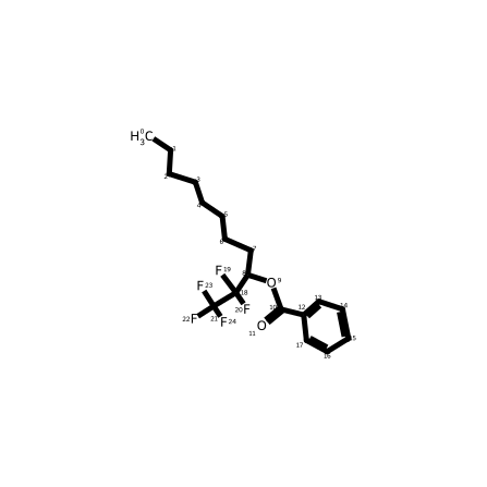 CCCCCCCCC(OC(=O)c1cc[c]cc1)C(F)(F)C(F)(F)F